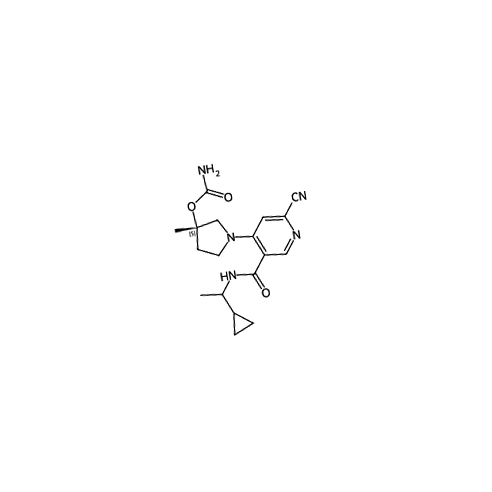 CC(NC(=O)c1cnc(C#N)cc1N1CC[C@](C)(OC(N)=O)C1)C1CC1